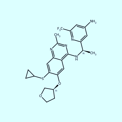 Cc1nc(N[C@H](C)c2cc(N)cc(C(F)(F)F)n2)c2cc(O[C@H]3CCOC3)c(SC3CC3)cc2n1